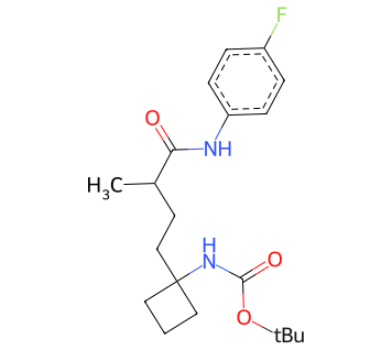 CC(CCC1(NC(=O)OC(C)(C)C)CCC1)C(=O)Nc1ccc(F)cc1